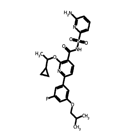 CC(C)COc1cc(F)cc(-c2ccc(C(=O)NS(=O)(=O)c3cccc(N)n3)c(OC(C)C3CC3)n2)c1